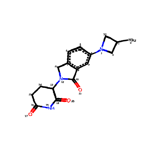 CC(C)(C)C1CN(c2ccc3c(c2)C(=O)N(C2CCC(=O)NC2=O)C3)C1